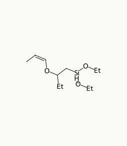 C/C=C\OC(CC)C[SiH](OCC)OCC